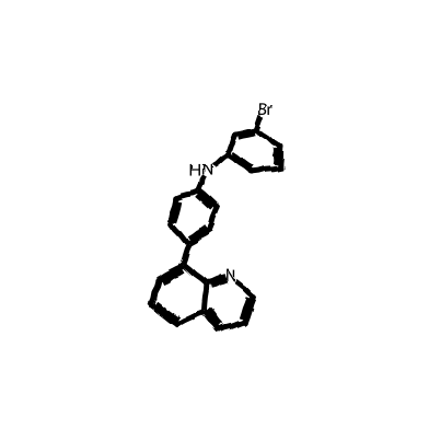 Brc1cccc(Nc2ccc(-c3cccc4cccnc34)cc2)c1